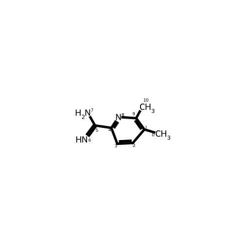 Cc1ccc(C(=N)N)nc1C